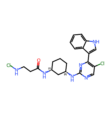 O=C(CCNCl)N[C@H]1CCC[C@@H](Nc2ncc(Cl)c(-c3c[nH]c4ccccc34)n2)C1